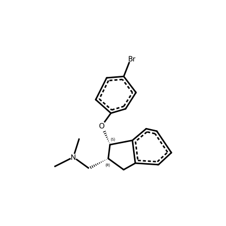 CN(C)C[C@H]1Cc2ccccc2[C@H]1Oc1ccc(Br)cc1